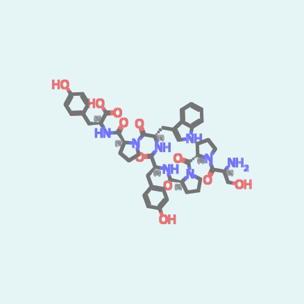 N[C@@H](CO)C(=O)N1CCC[C@H]1C(=O)N1CCC[C@H]1C(=O)N[C@@H](Cc1ccc(O)cc1)C(=O)N[C@@H](Cc1c[nH]c2ccccc12)C(=O)N1CCC[C@H]1C(=O)N[C@@H](Cc1ccc(O)cc1)C(=O)O